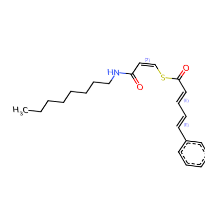 CCCCCCCCNC(=O)/C=C\SC(=O)/C=C/C=C/c1ccccc1